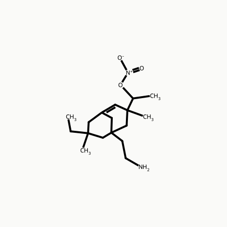 CCC1(C)CC2=CC(C)(C(C)O[N+](=O)[O-])CC(CCN)(C2)C1